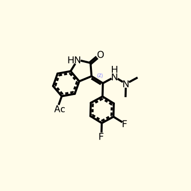 CC(=O)c1ccc2c(c1)/C(=C(/NN(C)C)c1ccc(F)c(F)c1)C(=O)N2